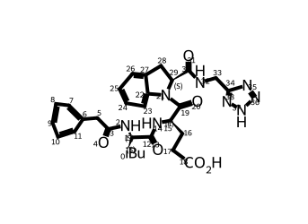 CC[C@H](C)[C@H](NC(=O)Cc1ccccc1)C(=O)N[C@H](CCC(=O)O)C(=O)N1c2ccccc2C[C@H]1C(=O)NCc1nn[nH]n1